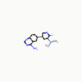 CN(C)c1cc(-c2ccc3ncnc(N)c3c2)cnc1F